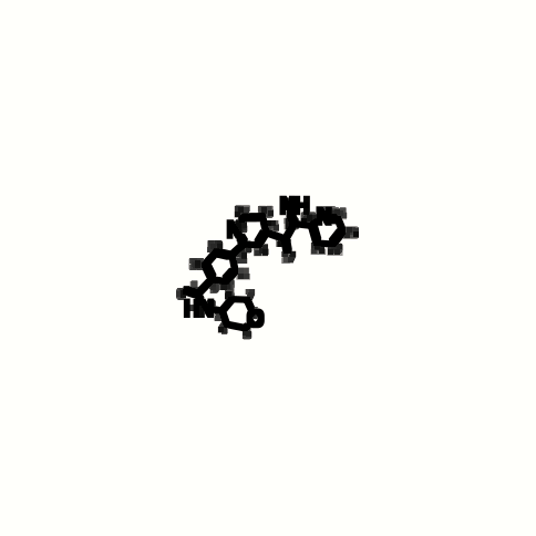 C=C(NC1CCOCC1)c1ccc(-c2cc(C(=C)C(=N)c3ccccn3)ccn2)cc1